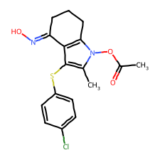 CC(=O)On1c(C)c(Sc2ccc(Cl)cc2)c2c1CCCC2=NO